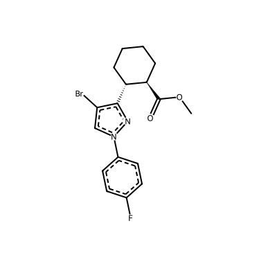 COC(=O)[C@@H]1CCCC[C@H]1c1nn(-c2ccc(F)cc2)cc1Br